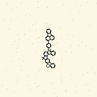 CC1(C)c2cc3oc4ccccc4c3cc2-c2c1ccc1c2c2ccccc2n1-c1ccc(C2=CC=C3c4ccccc4C4=CC=CC2C43)cc1